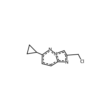 ClCc1cn2nc(C3CC3)ccc2n1